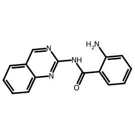 Nc1ccccc1C(=O)Nc1ncc2ccccc2n1